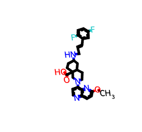 COc1ccc2nccc(N3CCC4CC(NC/C=C/c5cc(F)ccc5F)CCC4(C(=O)O)C3)c2n1